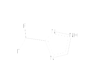 FC(F)c1nc[nH]n1